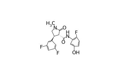 CN1C[C@H](c2cc(F)cc(F)c2)[C@@H](C(=O)Nc2cc(O)ccc2F)C1=O